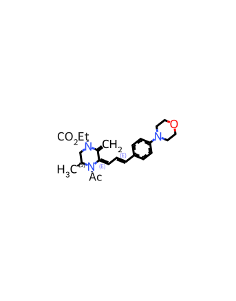 C=C1/C(=C\C=C\c2ccc(N3CCOCC3)cc2)N(C(C)=O)[C@@H](C)CN1C(=O)OCC